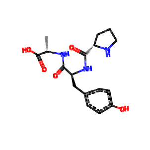 C[C@H](NC(=O)[C@H](Cc1ccc(O)cc1)NC(=O)[C@@H]1CCCN1)C(=O)O